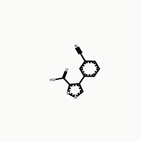 N#Cc1cccc(-c2cnsc2C(=O)O)c1